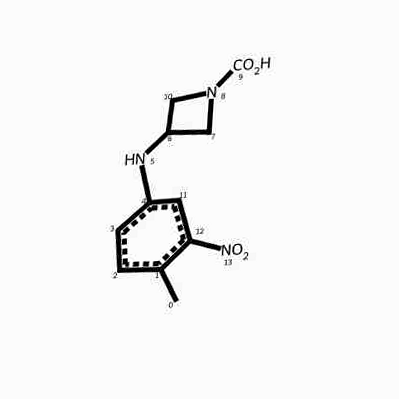 Cc1ccc(NC2CN(C(=O)O)C2)cc1[N+](=O)[O-]